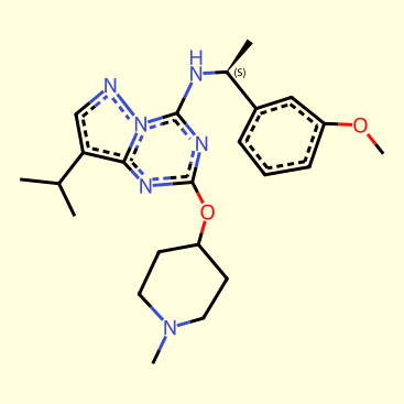 COc1cccc([C@H](C)Nc2nc(OC3CCN(C)CC3)nc3c(C(C)C)cnn23)c1